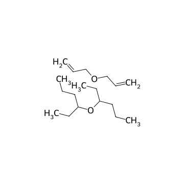 C=CCOCC=C.CCCC(CC)OC(CC)CCC